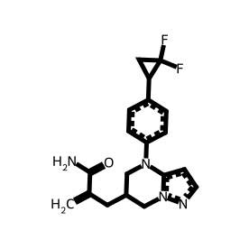 C=C(CC1CN(c2ccc(C3CC3(F)F)cc2)c2ccnn2C1)C(N)=O